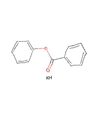 O=C(Oc1ccccc1)c1ccccc1.[KH]